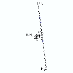 CCCCCCCC/C=C/C/C=C/CCCCC(=O)O[C@H](CO/C=C/CCCCCCCCCCCCCCCC)COP(=O)(O)OCCN